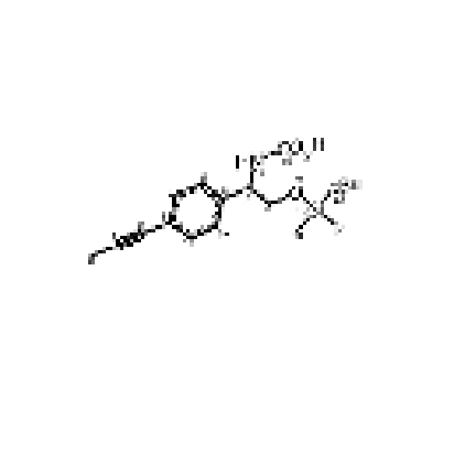 CC#Cc1ccc(C(CO[Si](C)(C)C(C)(C)C)NC(=O)O)cc1